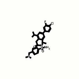 CC(C)c1cc(-c2ccc(Cl)c(F)c2)cc(C(C)C)c1CC(=O)N=S(N)(=O)c1ccc(CN(C)C)cc1